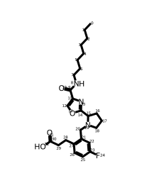 CCCCCCCCNC(=O)c1coc(C2CCCN2Cc2cc(F)ccc2CCC(=O)O)n1